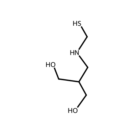 OCC(CO)CNCS